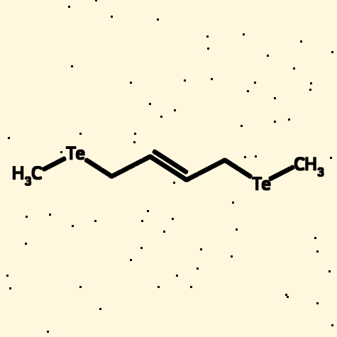 C[Te]CC=CC[Te]C